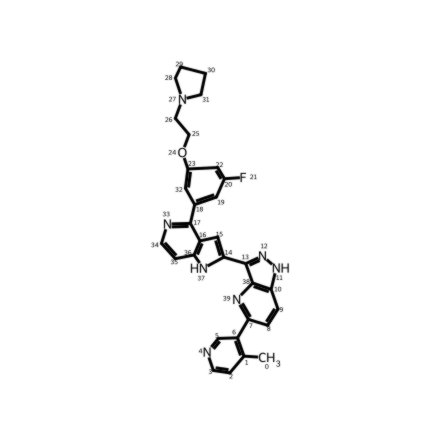 Cc1ccncc1-c1ccc2[nH]nc(-c3cc4c(-c5cc(F)cc(OCCN6CCCC6)c5)nccc4[nH]3)c2n1